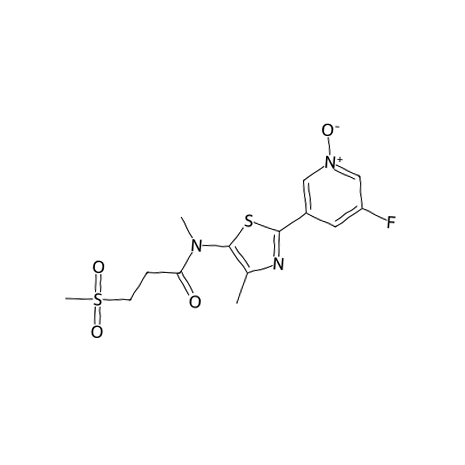 Cc1nc(-c2cc(F)c[n+]([O-])c2)sc1N(C)C(=O)CCS(C)(=O)=O